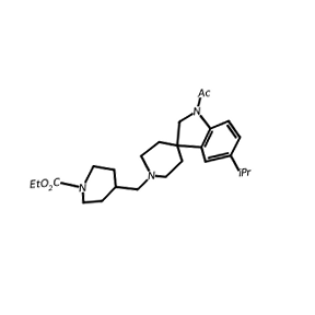 CCOC(=O)N1CCC(CN2CCC3(CC2)CN(C(C)=O)c2ccc(C(C)C)cc23)CC1